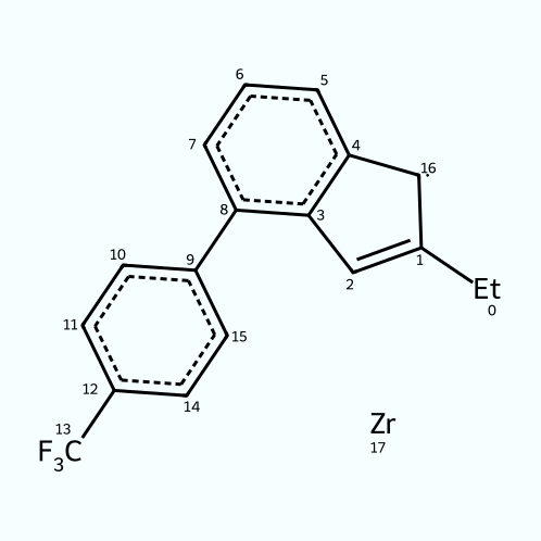 CCC1=Cc2c(cccc2-c2ccc(C(F)(F)F)cc2)[CH]1.[Zr]